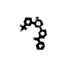 O=C(c1cccnc1)c1cccc(N2CCNC(c3cccc(C(F)(F)F)c3)C2)n1